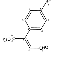 CCOC(=O)/C(=C/C=O)c1ccc(C(C)C)cc1